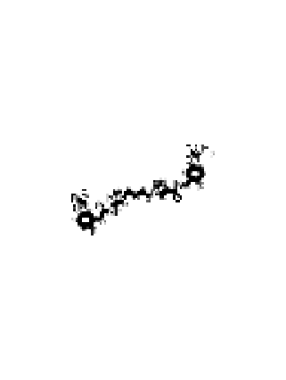 CC(F)(F)Oc1ccc(F)c(CNC(=O)c2cn(CCCCn3cc(NC(=O)Cc4cc(OC(F)(F)F)ccc4F)nn3)nn2)c1